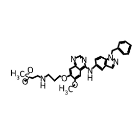 COc1cc2c(Nc3ccc4c(cnn4Cc4ccccc4)c3)ncnc2cc1OCCCNCCS(C)(=O)=O